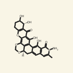 Cc1cc2cc3c(c(O)c2c(=O)n1N)-c1c2c(c4oc5c(c(=O)c4c1O)[C@@H](O)C(O)CC5)OCO[C@@H]2C3